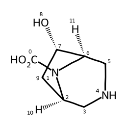 O=C(O)N1[C@H]2CNC[C@@H]1[C@@H](O)C2